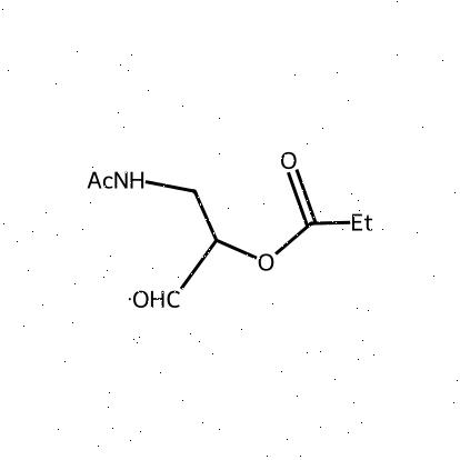 CCC(=O)OC([C]=O)CNC(C)=O